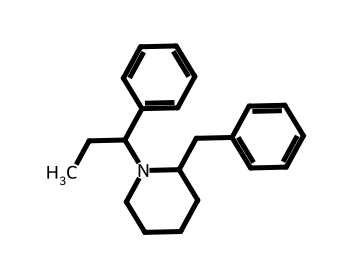 CCC(c1ccccc1)N1CCCCC1Cc1ccccc1